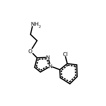 NCCOc1ccn(-c2ccccc2Cl)n1